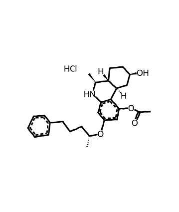 CC(=O)Oc1cc(O[C@H](C)CCCc2ccccc2)cc2c1[C@@H]1C[C@H](O)CC[C@H]1[C@H](C)N2.Cl